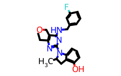 CC1Cc2c(O)cccc2N1c1nc2c(c(NCc3cccc(F)c3)n1)COCC2